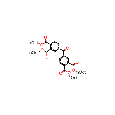 CCCCCCCCOC(=O)c1ccc(C(=O)c2ccc(C(=O)OCCCCCCCC)c(C(=O)OCCCCCCCC)c2)cc1C(=O)OCCCCCCCC